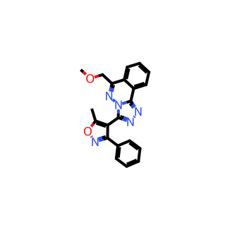 COCc1nn2c(-c3c(-c4ccccc4)noc3C)nnc2c2ccccc12